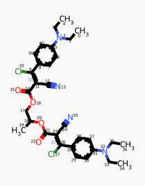 CCN(CC)c1ccc(/C(Cl)=C(\C#N)C(=O)OCC(C)OC(=O)/C(C#N)=C(\Cl)c2ccc(N(CC)CC)cc2)cc1